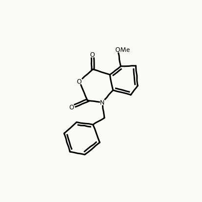 COc1cccc2c1c(=O)oc(=O)n2Cc1ccccc1